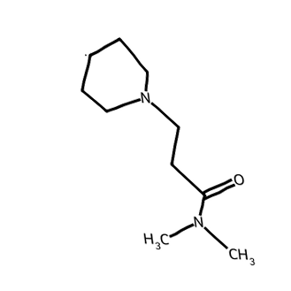 CN(C)C(=O)CCN1CC[CH]CC1